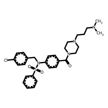 CN(C)CCCN1CCN(C(=O)c2ccc(N(Cc3ccc(Cl)cc3)S(=O)(=O)c3ccccc3)cc2)CC1